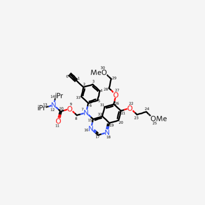 C#Cc1cccc(N(COC(=O)N(C(C)C)C(C)C)c2ncnc3cc(OCCOC)c(OCCOC)cc23)c1